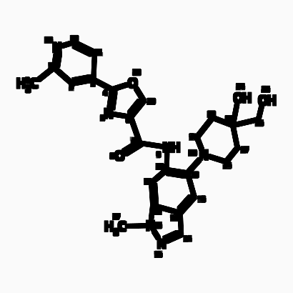 Cc1cc(-c2nc(C(=O)Nc3cc4c(cnn4C)cc3N3CCC(O)(CO)CC3)co2)ccn1